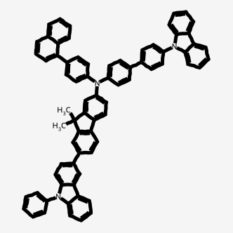 CC1(C)c2cc(-c3ccc4c(c3)c3ccccc3n4-c3ccccc3)ccc2-c2ccc(N(c3ccc(-c4ccc(-n5c6ccccc6c6ccccc65)cc4)cc3)c3ccc(-c4cccc5ccccc45)cc3)cc21